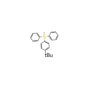 CC(C)(C)c1ccc(S(C)(c2ccccc2)c2ccccc2)cc1